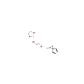 O=C(CCC(=O)ON1C(=O)CCC1=O)OCC1CC12C=CC=C2